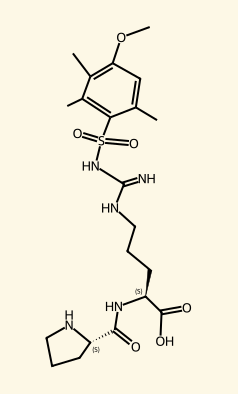 COc1cc(C)c(S(=O)(=O)NC(=N)NCCC[C@H](NC(=O)[C@@H]2CCCN2)C(=O)O)c(C)c1C